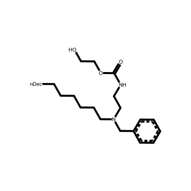 CCCCCCCCCCCCCCCCN(CCNC(=O)OCCO)Cc1ccccc1